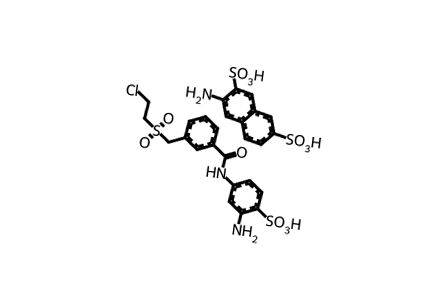 Nc1cc(NC(=O)c2cccc(CS(=O)(=O)CCCl)c2)ccc1S(=O)(=O)O.Nc1cc2ccc(S(=O)(=O)O)cc2cc1S(=O)(=O)O